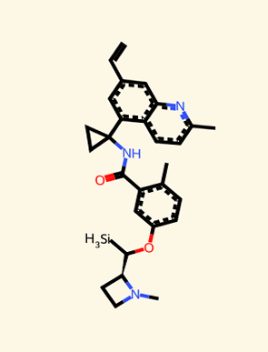 C=Cc1cc(C2(NC(=O)c3cc(OC([SiH3])[C@@H]4CCN4C)ccc3C)CC2)c2ccc(C)nc2c1